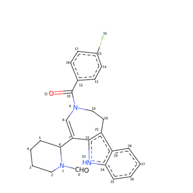 O=CN1CCCCC1C1=CN(C(=O)c2ccc(F)cc2)CCc2c1[nH]c1ccccc21